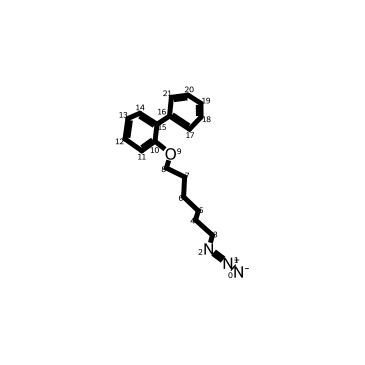 [N-]=[N+]=NCCCCCCOc1ccccc1-c1ccccc1